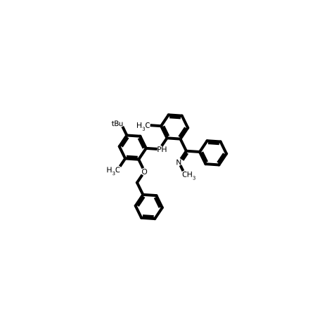 C/N=C(\c1ccccc1)c1cccc(C)c1Pc1cc(C(C)(C)C)cc(C)c1OCc1ccccc1